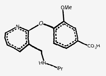 COc1cc(C(=O)O)ccc1Oc1ncccc1CNC(C)C